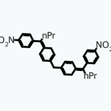 CCCC(=C1C=CC(CC2=CCC(=C(CCC)c3ccc([N+](=O)[O-])cc3)C=C2)=CC1)c1ccc([N+](=O)[O-])cc1